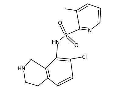 Cc1cccnc1S(=O)(=O)Nc1c(Cl)ccc2c1CNCC2